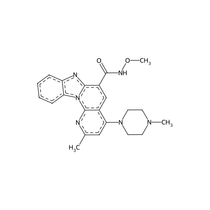 CONC(=O)c1cc2c(N3CCN(C)CC3)cc(C)nc2n2c1nc1ccccc12